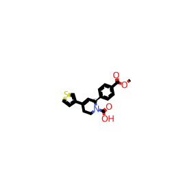 COC(=O)c1ccc([C@@H]2C=C(c3ccsc3)CCN2C(=O)O)cc1